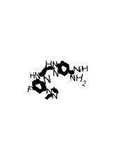 Cc1nccn1-c1cc(F)cc2[nH]c(Cc3nc4cc(C(=N)N)ccc4[nH]3)nc12